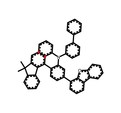 CC1(C)c2ccccc2-c2c(-c3ccc(-c4cccc5c4oc4ccccc45)cc3N(c3ccccc3)c3cccc(-c4ccccc4)c3)cccc21